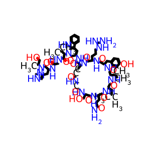 CC(C)CC1NC(=O)C(CCC(N)=O)NC(=O)C(CO)NC(=O)CNC(=O)CCC(C(=O)NC(Cc2c[nH]c3ccccc23)C(=O)NC(C(=O)NCC(=O)NC(Cc2c[nH]cn2)C(=O)NC(C)CO)C(C)C)NC(=O)C(CCCNC(=N)N)NC(=O)C(Cc2ccc(O)cc2)NC(=O)C(C(C)C)NC1=O